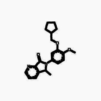 COc1ccc(N2C(=O)c3ncccc3C2C)cc1OCC1CCCC1